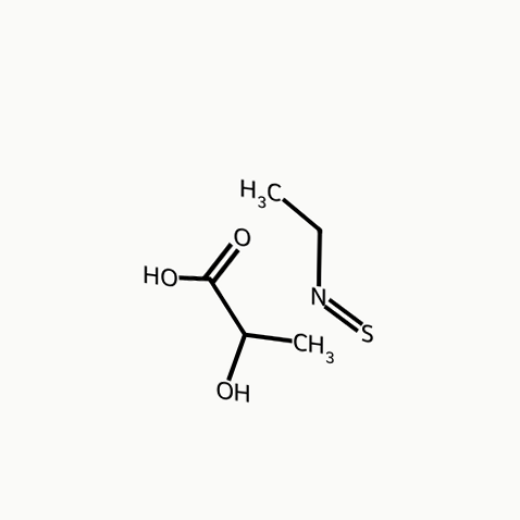 CC(O)C(=O)O.CCN=S